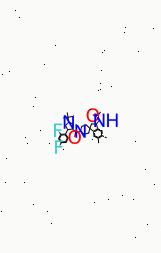 CC(=O)NC1CC2(CCN(C(=O)C3CN(C(C)(C)C)CC3c3ccc(F)cc3F)CC2)c2cc(C)c(C)cc21